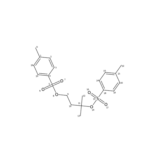 Cc1ccc(S(=O)(=O)OCCC(C)(C)OS(=O)(=O)c2ccc(C)cc2)cc1